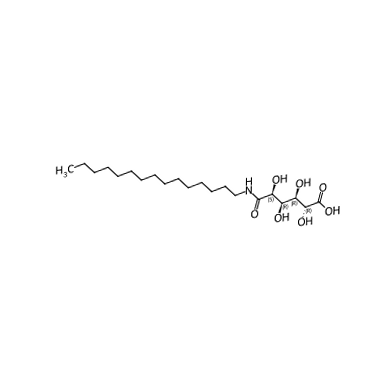 CCCCCCCCCCCCCCCNC(=O)[C@@H](O)[C@H](O)[C@@H](O)[C@@H](O)C(=O)O